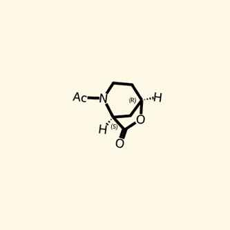 CC(=O)N1CC[C@@H]2C[C@H]1C(=O)O2